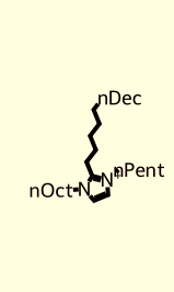 CCCCCCCCCCCCCCCc1n(CCCCCCCC)cc[n+]1CCCCC